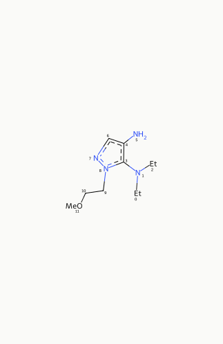 CCN(CC)c1c(N)cnn1CCOC